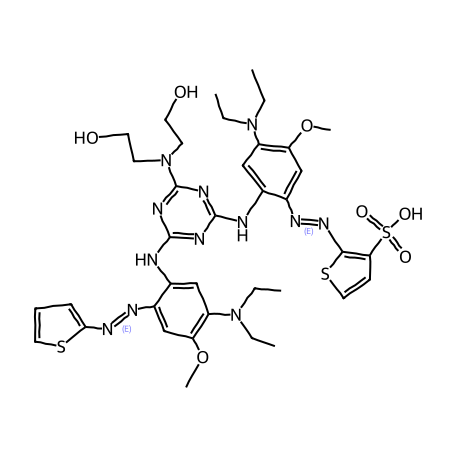 CCN(CC)c1cc(Nc2nc(Nc3cc(N(CC)CC)c(OC)cc3/N=N/c3sccc3S(=O)(=O)O)nc(N(CCO)CCO)n2)c(/N=N/c2cccs2)cc1OC